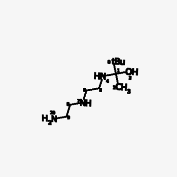 CC(C)(C)C(C)(O)NCCNCCN